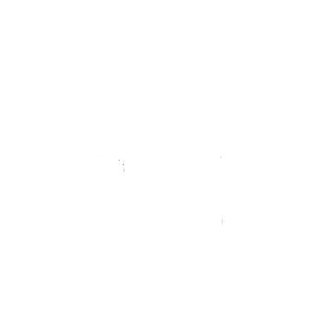 CC(C)(C)Nc1cccc(OC(F)(F)F)c1